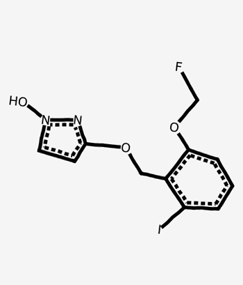 On1ccc(OCc2c(I)cccc2OCF)n1